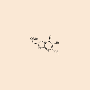 COCC1=Nc2nc(C(F)(F)F)c(Br)c(=O)n2C1